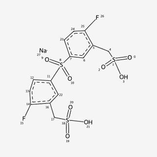 O=S(=O)(O)Cc1cc(S(=O)(=O)c2ccc(F)c(CS(=O)(=O)O)c2)ccc1F.[Na]